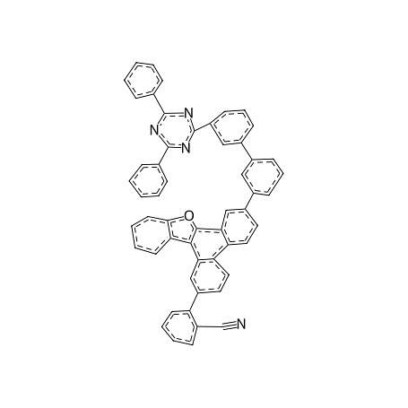 N#Cc1ccccc1-c1ccc2c3ccc(-c4cccc(-c5cccc(-c6nc(-c7ccccc7)nc(-c7ccccc7)n6)c5)c4)cc3c3oc4ccccc4c3c2c1